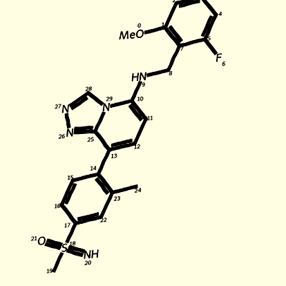 COc1cccc(F)c1CNc1ccc(-c2ccc(S(C)(=N)=O)cc2C)c2nncn12